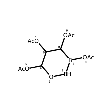 CC(=O)OB1BOC(OC(C)=O)C(OC(C)=O)C1OC(C)=O